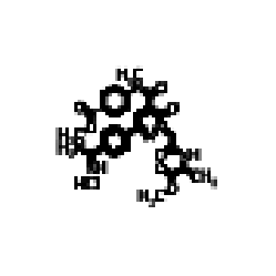 COC(=O)C(C)NC(=O)Cn1nc(-c2ccc(C(=N)N)cc2)cc(C(=O)N(C)[C@H]2CC[C@H](C(=O)OC)CC2)c1=O.Cl